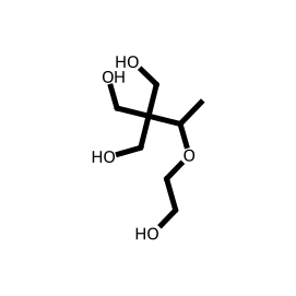 CC(OCCO)C(CO)(CO)CO